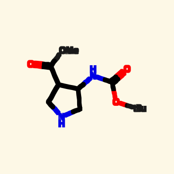 COC(=O)C1CNCC1NC(=O)OC(C)(C)C